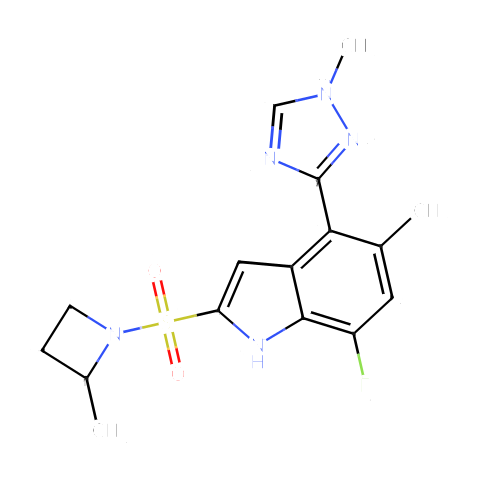 Cc1cc(F)c2[nH]c(S(=O)(=O)N3CCC3C)cc2c1-c1ncn(C)n1